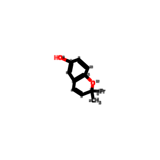 CC(C)C1(C)C=Cc2cc(O)ccc2O1